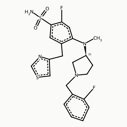 CN(c1cc(F)c(S(N)(=O)=O)cc1Cc1cscn1)[C@H]1CCN(Cc2ccccc2F)C1